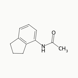 CC(=O)Nc1cccc2c1CCC2